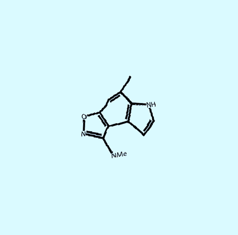 CNc1noc2cc(C)c3[nH]ccc3c12